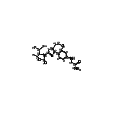 CC1OC(=O)N(c2cn3c(n2)-c2ccc(NCC(N)=O)cc2OCC3)C1C(F)F